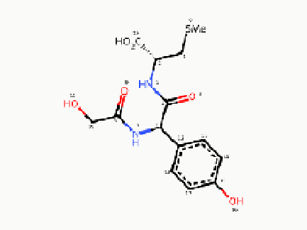 CSC[C@H](NC(=O)[C@H](NC(=O)CO)c1ccc(O)cc1)C(=O)O